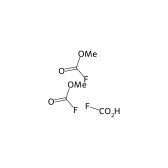 COC(=O)F.COC(=O)F.O=C(O)F